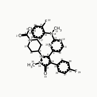 CC(=O)N1CCC(n2c(-c3ccnc(N(C)c4ccccc4F)n3)c(-c3ccc(F)cc3)c(=O)n2C)CC1